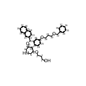 OCCCO[C@@H]1CNC[C@H](OCc2ccc3ccccc3c2)[C@@H]1c1ccc(OCCCOCc2ccccc2)cc1